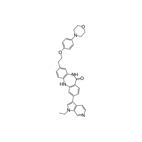 CCn1cc(-c2ccc3c(c2)Nc2ccc(CCOc4ccc(N5CCOCC5)cc4)cc2NC3=O)c2ccncc21